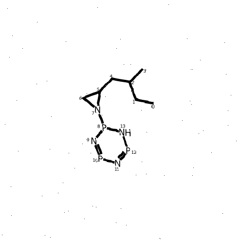 CCC(C)CC1CN1P1N=PN=PN1